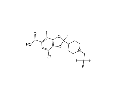 Cc1c(C(=O)O)cc(Cl)c2c1OC(C)(C1CCN(CC(F)(F)F)CC1)O2